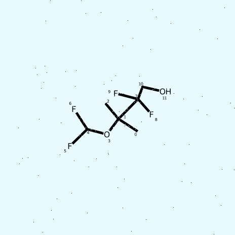 CC(C)(OC(F)F)C(F)(F)CO